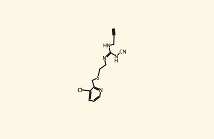 C#CCN/C(=N/CCSCc1ncccc1Cl)NC#N